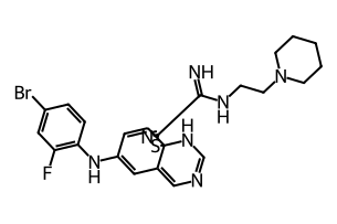 N=C(NCCN1CCCCC1)C1=NC2=CC(Nc3ccc(Br)cc3F)=CC3=CN=CNC32S1